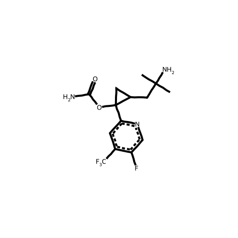 CC(C)(N)CC1CC1(OC(N)=O)c1cc(C(F)(F)F)c(F)cn1